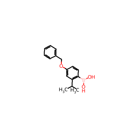 CC(C)c1cc(OCc2ccccc2)ccc1B(O)O